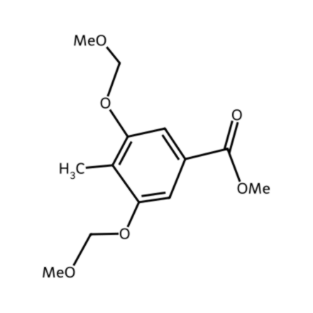 COCOc1cc(C(=O)OC)cc(OCOC)c1C